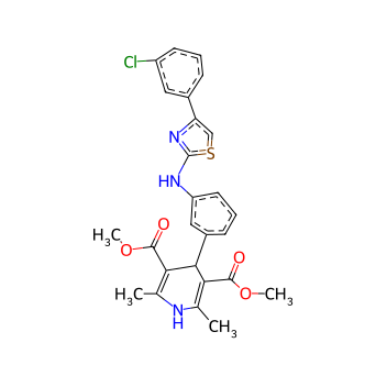 COC(=O)C1=C(C)NC(C)=C(C(=O)OC)C1c1cccc(Nc2nc(-c3cccc(Cl)c3)cs2)c1